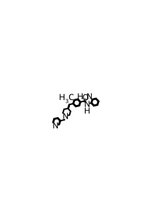 Cc1cc(C(=O)Nc2ccccc2N)ccc1C=C1CCN(Cc2cccnc2)CC1